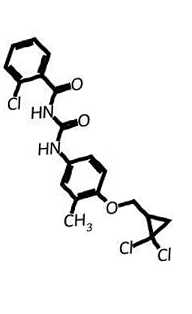 Cc1cc(NC(=O)NC(=O)c2ccccc2Cl)ccc1OCC1CC1(Cl)Cl